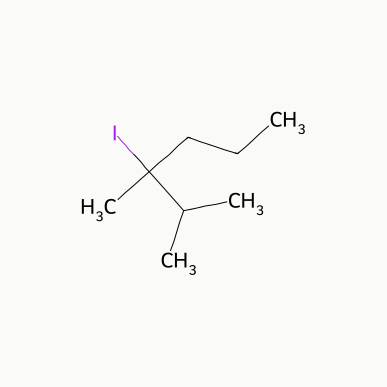 CCCC(C)(I)C(C)C